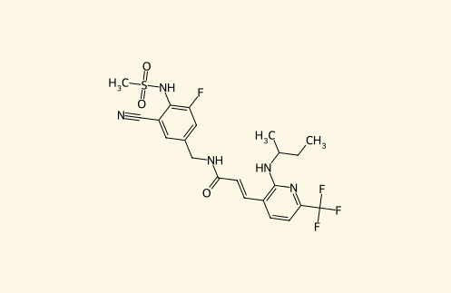 CCC(C)Nc1nc(C(F)(F)F)ccc1C=CC(=O)NCc1cc(F)c(NS(C)(=O)=O)c(C#N)c1